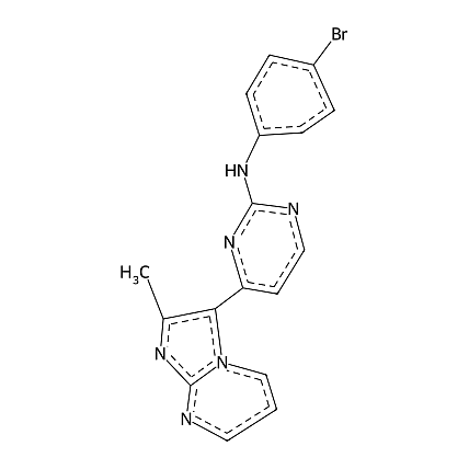 Cc1nc2ncccn2c1-c1ccnc(Nc2ccc(Br)cc2)n1